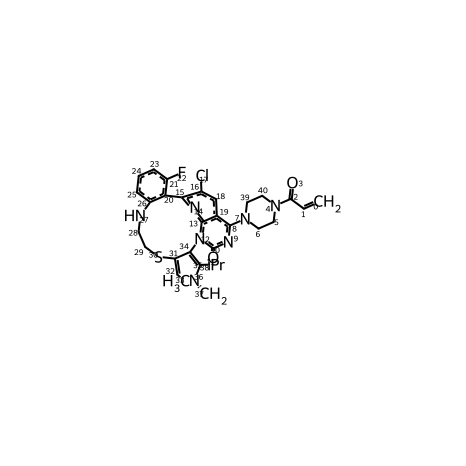 C=CC(=O)N1CCN(c2nc(=O)n3c4nc(c(Cl)cc24)-c2c(F)cccc2NCCSC(=C/C)/C3=C(\N=C)C(C)C)CC1